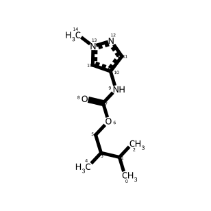 CC(C)C(C)COC(=O)Nc1cnn(C)c1